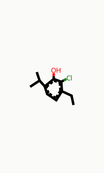 CCc1ccc(C(C)C)c(O)c1Cl